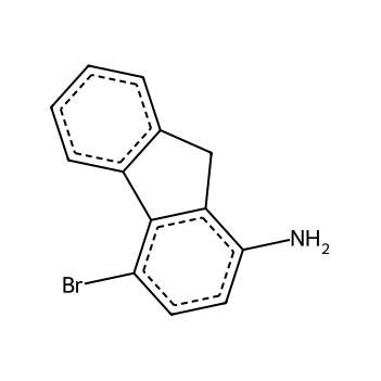 Nc1ccc(Br)c2c1Cc1ccccc1-2